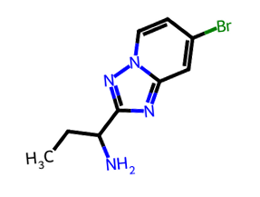 CCC(N)c1nc2cc(Br)ccn2n1